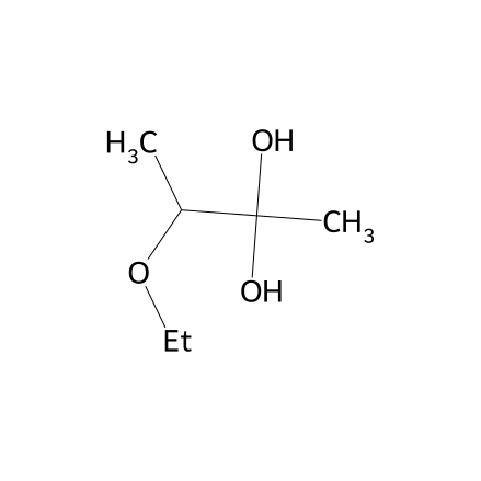 CCOC(C)C(C)(O)O